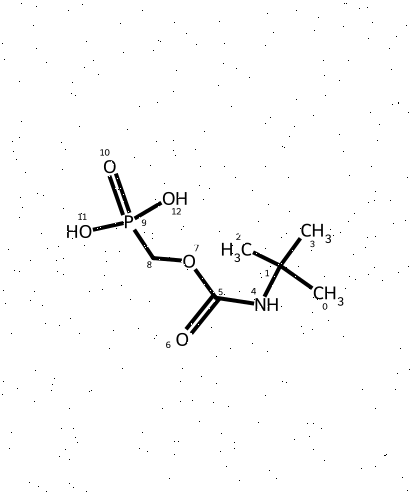 CC(C)(C)NC(=O)OCP(=O)(O)O